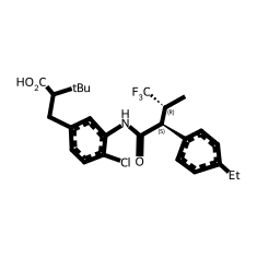 CCc1ccc([C@@H](C(=O)Nc2cc(CC(C(=O)O)C(C)(C)C)ccc2Cl)[C@@H](C)C(F)(F)F)cc1